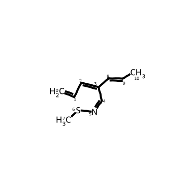 C=C/C=C(\C=N/SC)/C=C/C